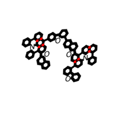 c1ccc(-c2ccccc2N(c2ccc(-c3ccc4c(c3)oc3c(-c5ccc6c(ccc7c6oc6cccc(-c8ccccc8N(c8ccc(-c9cccc%10oc%11ccccc%11c9%10)cc8)c8ccccc8-c8ccccc8)c67)c5)cccc34)cc2)c2ccccc2-c2cccc3oc4c5ccccc5ccc4c23)cc1